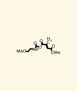 COCCNC(=O)OC(=O)/C(C)=C/C(=O)OC